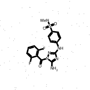 CNS(=O)(=O)c1ccc(Nc2nc(N)n(C(=O)c3c(F)cccc3F)n2)cc1